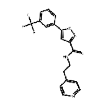 O=C(NCCc1ccncc1)c1cc(-c2cccc(C(F)(F)F)c2)on1